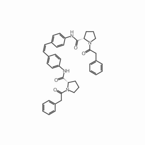 O=C(Nc1ccc(/C=C\c2ccc(NC(=O)[C@@H]3CCCN3C(=O)Cc3ccccc3)cc2)cc1)[C@@H]1CCCN1C(=O)Cc1ccccc1